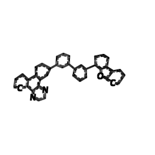 c1cc(-c2cccc(-c3cccc4c3oc3ccccc34)c2)cc(-c2ccc3c4ccccc4c4nccnc4c3c2)c1